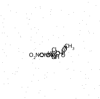 CN1CCN(C(=O)c2cc(Cl)c(NC(=N)N3CCN(c4ccc([N+](=O)[O-])cc4)CC3)c(Cl)c2)CC1